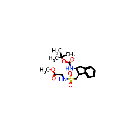 COC(=O)CNS(=O)(=O)C[C@@H]1c2ccccc2C[C@H]1NC(=O)OC(C)(C)C